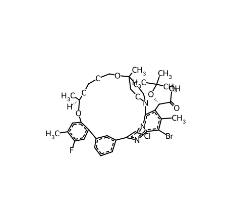 Cc1cc2c(cc1F)-c1cccc(c1)-c1nc3c(Br)c(C)c([C@H](OC(C)(C)C)C(=O)O)c(n3c1Cl)N1CCC(C)(CC1)OCCCC[C@H](C)O2